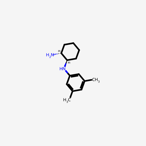 Cc1cc(C)cc(N[C@@H]2CCCC[C@H]2N)c1